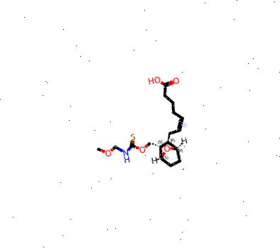 COCNC(=S)OC[C@@H]1[C@@H](C/C=C\CCCC(=O)O)[C@H]2CC[C@@H]1O2